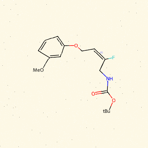 COc1cccc(OC/C=C(/F)CNC(=O)OC(C)(C)C)c1